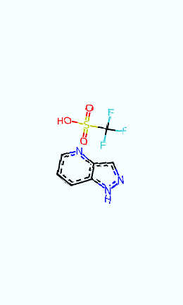 O=S(=O)(O)C(F)(F)F.c1cnc2cn[nH]c2c1